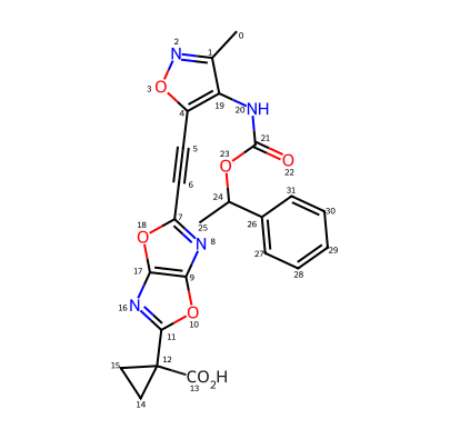 Cc1noc(C#Cc2nc3oc(C4(C(=O)O)CC4)nc3o2)c1NC(=O)OC(C)c1ccccc1